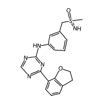 CS(=N)(=O)Cc1cccc(Nc2ncnc(-c3cccc4c3OCC4)n2)c1